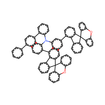 c1ccc(-c2ccc(-c3ccccc3N(c3cccc(-c4cccc5c4-c4ccccc4C54c5ccccc5Oc5ccccc54)c3)c3ccccc3-c3cccc4c3-c3ccccc3C43c4ccccc4Oc4ccccc43)cc2)cc1